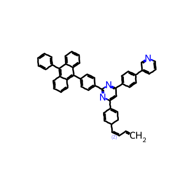 C=C/C=C\C1C=CC(c2cc(-c3ccc(-c4cccnc4)cc3)nc(-c3ccc(-c4c5ccccc5c(-c5ccccc5)c5ccccc45)cc3)n2)=CC1